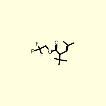 CC(C)=CC(C(=O)OCC(F)(F)F)C(C)(C)C